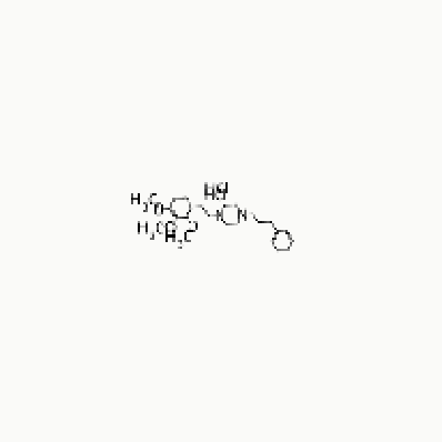 COc1ccc(CCN2CCN(CCCc3ccccc3)CC2)c(OC)c1OC.Cl.Cl